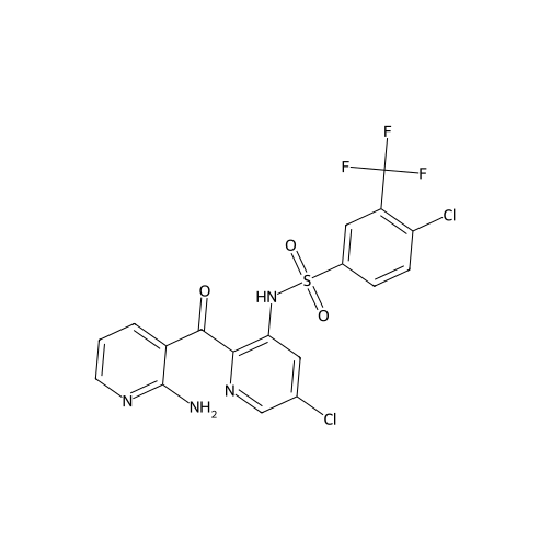 Nc1ncccc1C(=O)c1ncc(Cl)cc1NS(=O)(=O)c1ccc(Cl)c(C(F)(F)F)c1